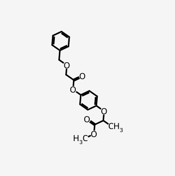 COC(=O)C(C)Oc1ccc(OC(=O)COCc2ccccc2)cc1